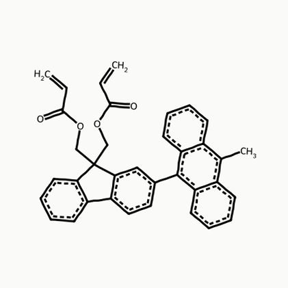 C=CC(=O)OCC1(COC(=O)C=C)c2ccccc2-c2ccc(-c3c4ccccc4c(C)c4ccccc34)cc21